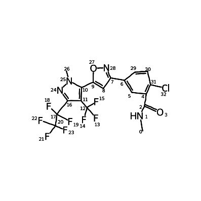 CNC(=O)c1cc(-c2cc(-c3c(C(F)(F)F)c(C(F)(F)C(F)(F)F)nn3C)on2)ccc1Cl